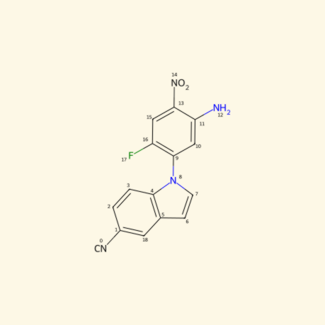 [C-]#[N+]c1ccc2c(ccn2-c2cc(N)c([N+](=O)[O-])cc2F)c1